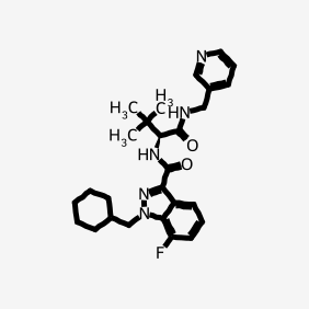 CC(C)(C)[C@H](NC(=O)c1nn(CC2CCCCC2)c2c(F)cccc12)C(=O)NCc1cccnc1